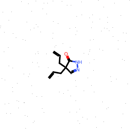 C=CCC1(CC=C)[C]=NNC1=O